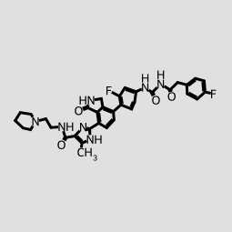 Cc1[nH]c(-c2ccc(-c3ccc(NC(=O)NC(=O)Cc4ccc(F)cc4)cc3F)c3c2C(=O)NC3)nc1C(=O)NCCN1CCCCC1